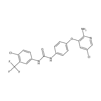 Nc1ncc(Cl)cc1Oc1ccc(NC(=O)Nc2ccc(Cl)c(C(F)(F)F)c2)cc1